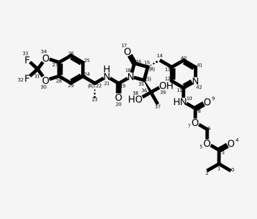 CC(C)C(=O)OCOC(=O)Nc1cc(C[C@H]2C(=O)N(C(=O)N[C@H](C)c3ccc4c(c3)OC(F)(F)O4)[C@@H]2C(C)(O)O)ccn1